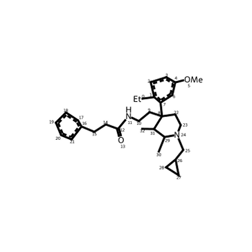 CCc1ccc(OC)cc1C1(CCNC(=O)CCc2ccccc2)CCN(CC2CC2)C(C)C1C